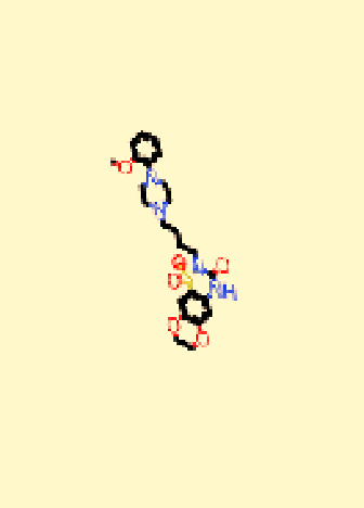 COc1ccccc1N1CCN(CCCCN2C(=O)Nc3cc4c(cc3S2(=O)=O)OCCO4)CC1